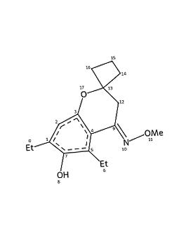 CCc1cc2c(c(CC)c1O)C(=NOC)CC1(CCC1)O2